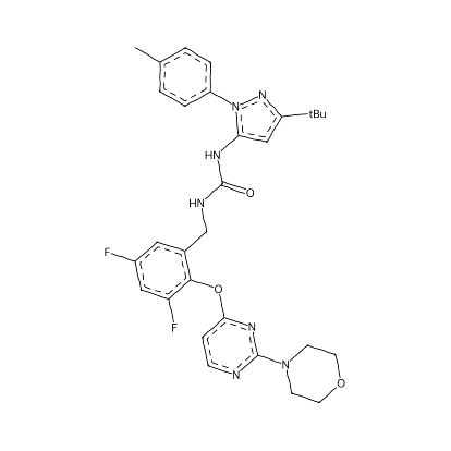 Cc1ccc(-n2nc(C(C)(C)C)cc2NC(=O)NCc2cc(F)cc(F)c2Oc2ccnc(N3CCOCC3)n2)cc1